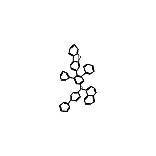 c1ccc(-c2ccc(N(c3cc(-c4ccccc4)c(-c4ccc5c(c4)oc4ccccc45)c(-c4ccccc4)c3)c3cccc4ccccc34)cc2)cc1